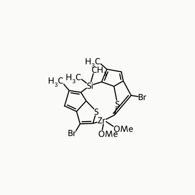 C[O][Zr]1([O]C)[C]2=C(Br)C3=CC(C)=C(C3S2)[Si](C)(C)C2=C(C)C=C3C(Br)=[C]1SC32